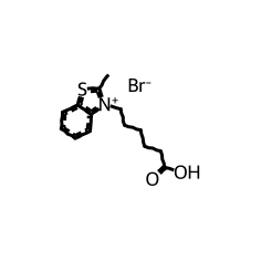 Cc1sc2ccccc2[n+]1CCCCCC(=O)O.[Br-]